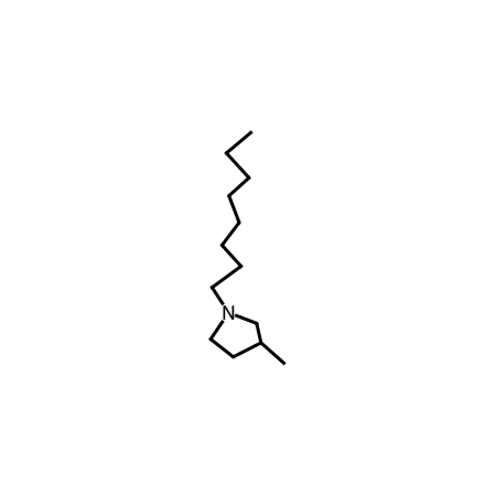 CCCCCCCCN1CCC(C)C1